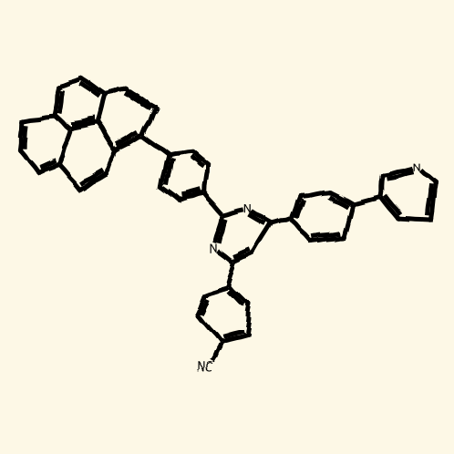 N#Cc1ccc(-c2cc(-c3ccc(-c4cccnc4)cc3)nc(-c3ccc(-c4ccc5ccc6cccc7ccc4c5c67)cc3)n2)cc1